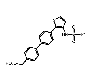 CC(C)S(=O)(=O)Nc1ccsc1-c1ccc(-c2ccc(CC(=O)O)cc2)cc1